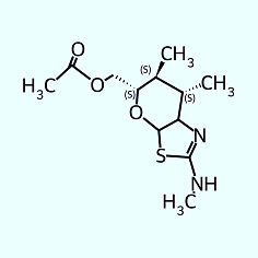 CNC1=NC2C(O[C@H](COC(C)=O)[C@@H](C)[C@@H]2C)S1